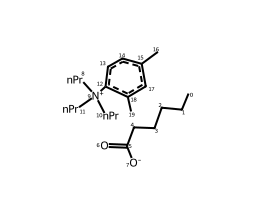 CCCCCC(=O)[O-].CCC[N+](CCC)(CCC)c1ccc(C)cc1C